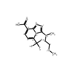 COCCN(C)c1nnc2c(C(=O)O)ccc(C(F)(F)F)n12